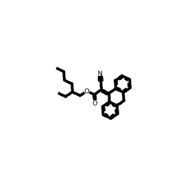 CCCCC(CC)COC(=O)C(C#N)=C1c2ccccc2Cc2ccccc21